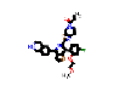 C=CC(=O)N1CCc2nc(-c3nc(-c4ccc5c(c4)CCNC5)c4ccsc4c3-c3ccc(F)cc3OCCOC)sc2C1